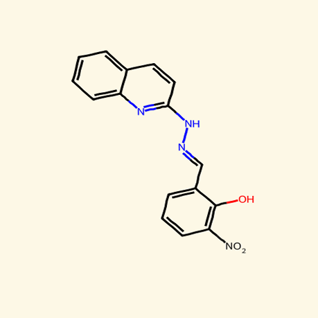 O=[N+]([O-])c1cccc(/C=N/Nc2ccc3ccccc3n2)c1O